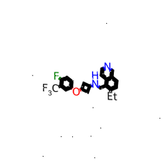 CCc1ccc2cnccc2c1CNC1CC(Oc2ccc(F)c(C(F)(F)F)c2)C1